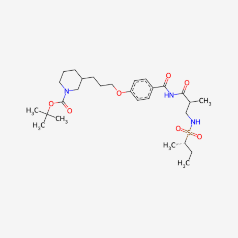 CC[C@H](C)S(=O)(=O)NCC(C)C(=O)NC(=O)c1ccc(OCCCC2CCCN(C(=O)OC(C)(C)C)C2)cc1